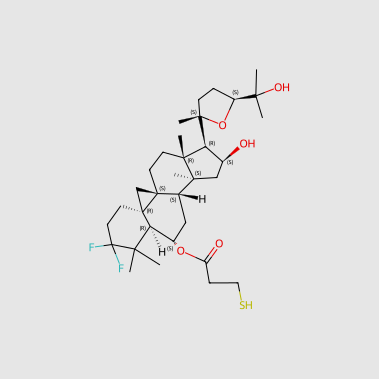 CC(C)(O)[C@@H]1CC[C@@](C)([C@H]2[C@@H](O)C[C@@]3(C)[C@@H]4C[C@H](OC(=O)CCS)[C@H]5C(C)(C)C(F)(F)CC[C@@]56C[C@@]46CC[C@]23C)O1